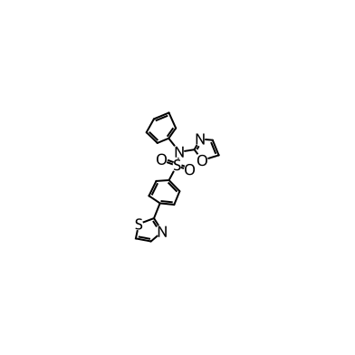 O=S(=O)(c1ccc(-c2nccs2)cc1)N(c1ccccc1)c1ncco1